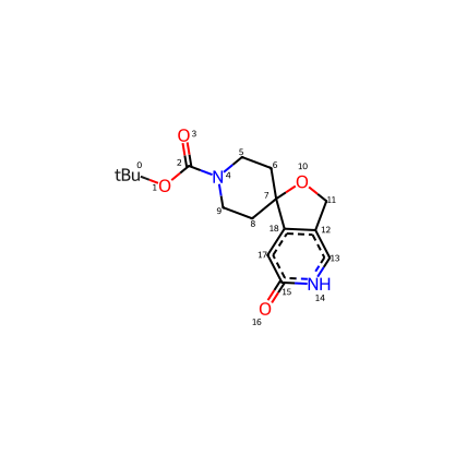 CC(C)(C)OC(=O)N1CCC2(CC1)OCc1c[nH]c(=O)cc12